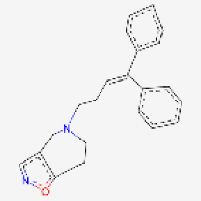 C(CCN1CCc2oncc2C1)=C(c1ccccc1)c1ccccc1